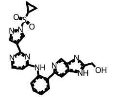 O=S(=O)(C1CC1)n1cc(-c2nccc(Nc3ccccc3-c3cc4[nH]c(CO)nc4cn3)n2)cn1